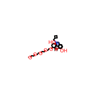 COCCOCCOCCOCCOC1CC[C@@]2(O)C3Cc4ccc(O)c5c4[C@@]2(CCN3CC2CCC2)[C@H]1O5